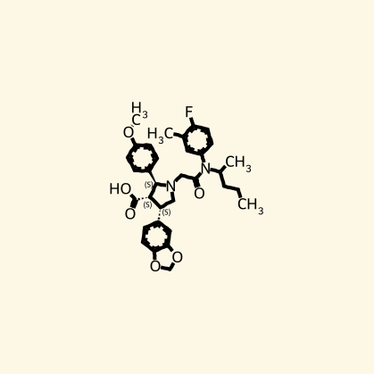 CCCC(C)N(C(=O)CN1C[C@H](c2ccc3c(c2)OCO3)[C@H](C(=O)O)[C@H]1c1ccc(OC)cc1)c1ccc(F)c(C)c1